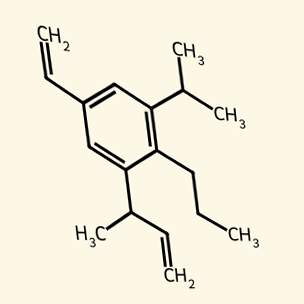 C=Cc1cc(C(C)C)c(CCC)c(C(C)C=C)c1